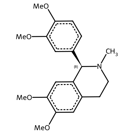 COc1ccc([C@@H]2c3cc(OC)c(OC)cc3CCN2C)cc1OC